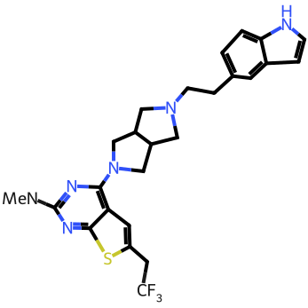 CNc1nc(N2CC3CN(CCc4ccc5[nH]ccc5c4)CC3C2)c2cc(CC(F)(F)F)sc2n1